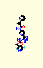 C[C@@H](OC(=O)Nc1c(-c2ccc(NC(=O)C3C[C@H]3c3ccccn3)cn2)nnn1C)c1cc(F)cnc1F